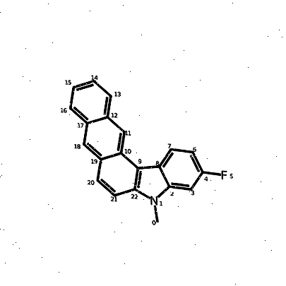 Cn1c2cc(F)ccc2c2c3cc4ccccc4cc3ccc21